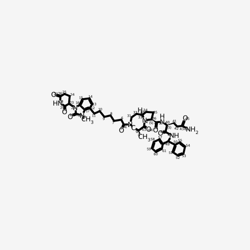 C[C@H]1CN(C(=O)CCCCCCc2cccc3c2n(C)c(=O)n3C2CCC(=O)NC2=O)CC[C@H]2CC[C@@H](C(=O)N[C@@H](CCC(N)=O)C(=O)NC(c3ccccc3)c3ccccc3)N2C1=O